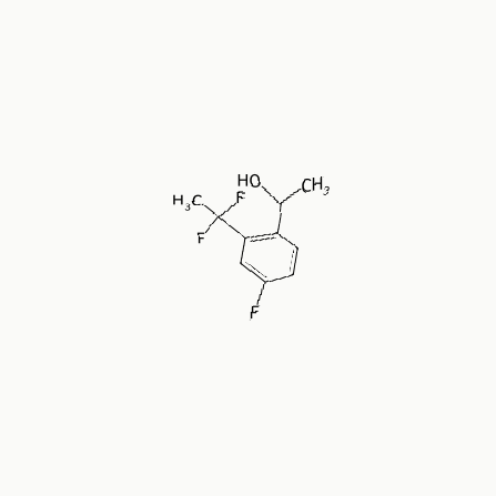 CC(O)c1ccc(F)cc1C(C)(F)F